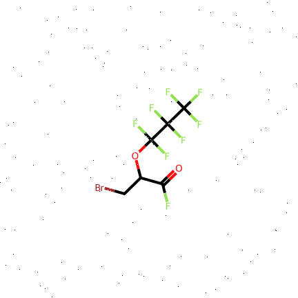 O=C(F)C(CBr)OC(F)(F)C(F)(F)C(F)(F)F